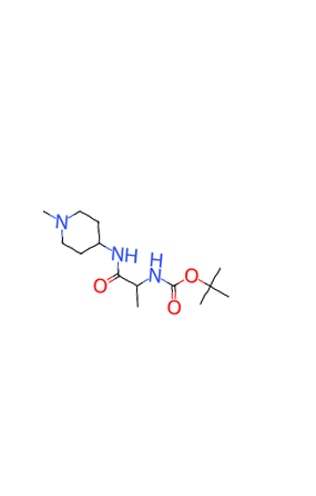 CC(NC(=O)OC(C)(C)C)C(=O)NC1CCN(C)CC1